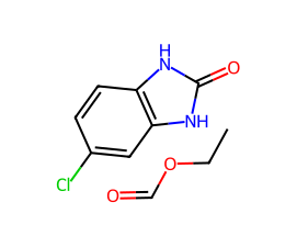 CCOC=O.O=c1[nH]c2ccc(Cl)cc2[nH]1